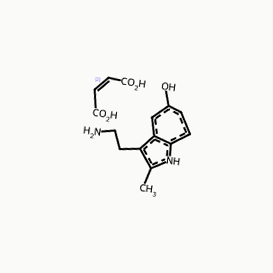 Cc1[nH]c2ccc(O)cc2c1CCN.O=C(O)/C=C\C(=O)O